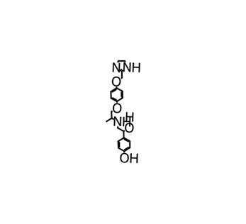 CC(COc1ccc(OCC2=NCCN2)cc1)NCC(O)c1ccc(O)cc1